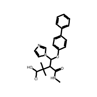 CNC(=O)C(C(Oc1ccc(-c2ccccc2)cc1)n1ccnc1)C(C)(C)C(O)Cl